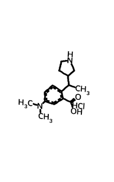 CC(c1ccc(N(C)C)cc1C(=O)O)C1CCNC1.Cl